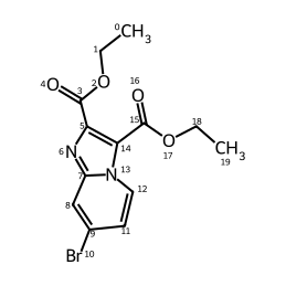 CCOC(=O)c1nc2cc(Br)ccn2c1C(=O)OCC